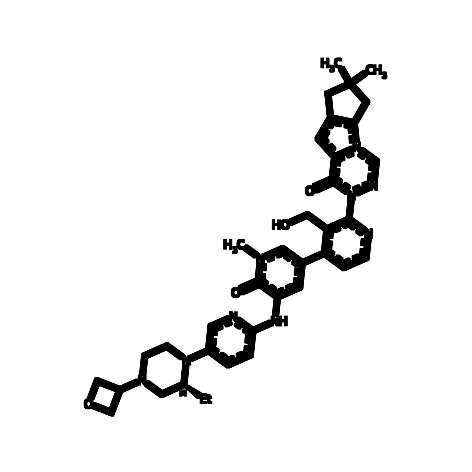 CC[C@H]1CN(C2COC2)CCN1c1ccc(Nc2cc(-c3ccnc(-n4ncn5c6c(cc5c4=O)CC(C)(C)C6)c3CO)cn(C)c2=O)nc1